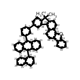 CC1(C)c2ccc(-c3cccc(-c4c5ccccc5c(-c5cccc6ccccc56)c5ccccc45)c3)cc2-c2c1ccc1c2ccc2c3ccccc3oc12